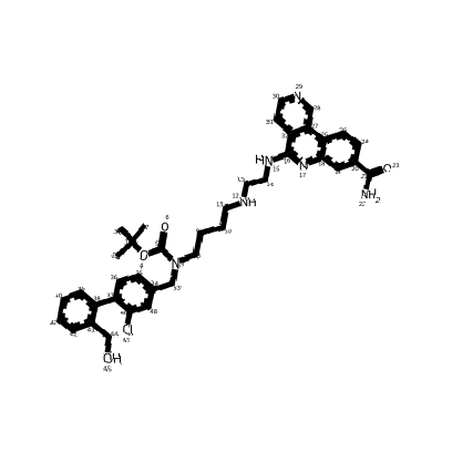 CC(C)(C)OC(=O)N(CCCCNCCNc1nc2cc(C(N)=O)ccc2c2cnccc12)Cc1ccc(-c2ccccc2CO)c(Cl)c1